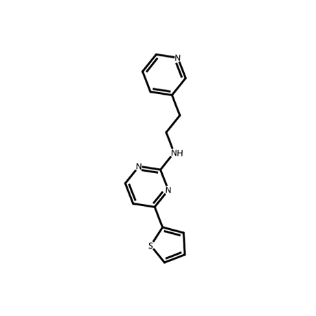 c1cncc(CCNc2nccc(-c3cccs3)n2)c1